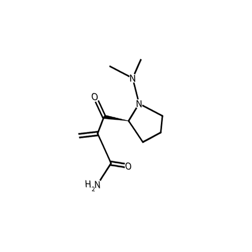 C=C(C(N)=O)C(=O)[C@@H]1CCCN1N(C)C